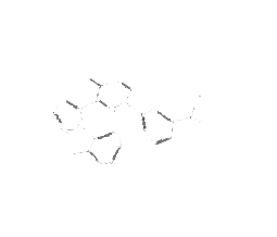 CC(O)c1cccc(-n2ccc(=O)c(-c3ccnn3-c3ccccc3F)n2)c1